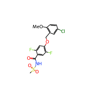 COc1ccc(Cl)cc1COc1cc(F)c(C(=O)NS(C)(=O)=O)cc1F